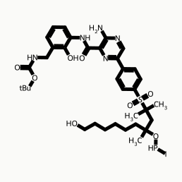 CC(C)(C)OC(=O)NCc1cccc(NC(=O)c2nc(-c3ccc(S(=O)(=O)C(C)(C)CC(C)(CCCCCCO)OPI)cc3)cnc2N)c1O